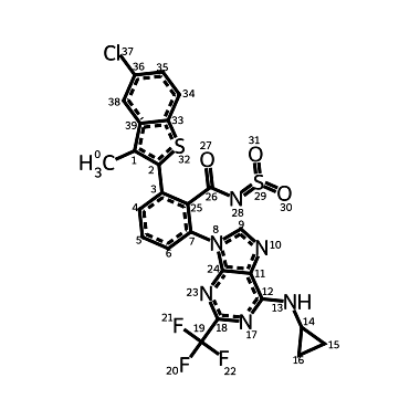 Cc1c(-c2cccc(-n3cnc4c(NC5CC5)nc(C(F)(F)F)nc43)c2C(=O)N=S(=O)=O)sc2ccc(Cl)cc12